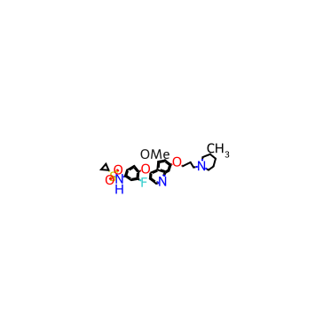 COc1cc2c(Oc3ccc(NS(=O)(=O)C4CC4)cc3F)ccnc2cc1OCCCN1CCCC(C)C1